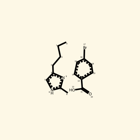 CCCCc1c[nH]c(C)n1.O=C(O)c1ccc(Br)cc1